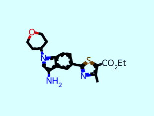 CCOC(=O)c1sc(-c2ccc3c(c2)c(N)cn3C2CCOCC2)nc1C